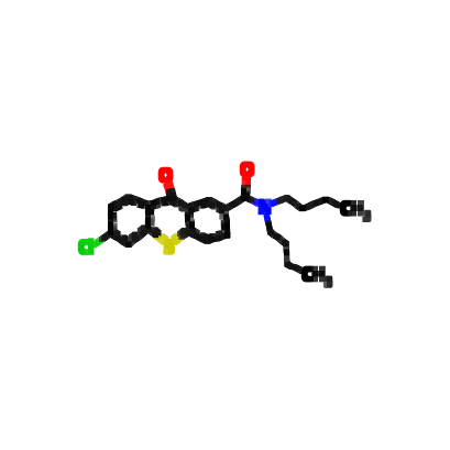 CCCCN(CCCC)C(=O)c1ccc2sc3cc(Cl)ccc3c(=O)c2c1